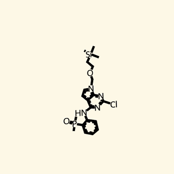 C[Si](C)(C)CCOCn1ccc2c(Nc3ccccc3P(C)(C)=O)nc(Cl)nc21